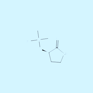 CC(C)(C)[Si](C)(C)O[C@@H]1CCNC1=O